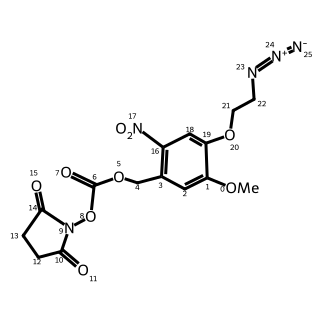 COc1cc(COC(=O)ON2C(=O)CCC2=O)c([N+](=O)[O-])cc1OCCN=[N+]=[N-]